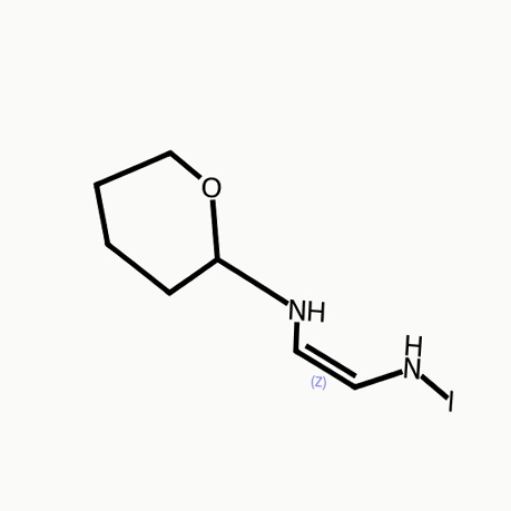 IN/C=C\NC1CCCCO1